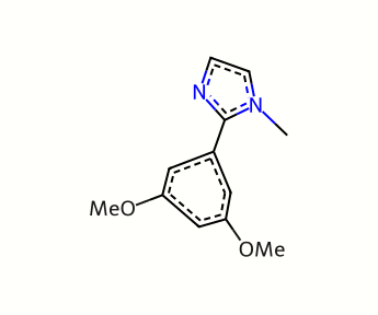 COc1cc(OC)cc(-c2nccn2C)c1